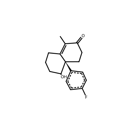 CC1=C2CCC[C@H](O)[C@@]2(c2ccc(F)cc2)CCC1=O